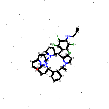 C#CCNc1c(F)c(F)c(/C2=C3\C=CC=[N+]3C3(c4ccccc4-c4cccc[n+]43)[n+]3ccccc3-c3ccccc3C(=C)n3cccc32)c(F)c1F